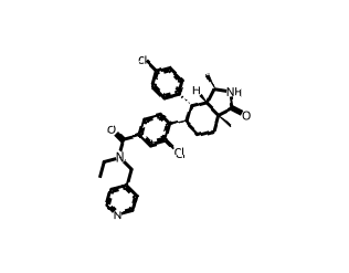 CCN(Cc1ccncc1)C(=O)c1ccc([C@@H]2CC[C@@]3(C)C(=O)N[C@H](C)[C@H]3[C@H]2c2ccc(Cl)cc2)c(Cl)c1